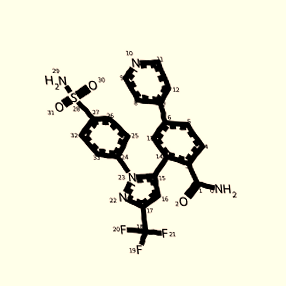 NC(=O)c1ccc(-c2ccncc2)cc1-c1cc(C(F)(F)F)nn1-c1ccc(S(N)(=O)=O)cc1